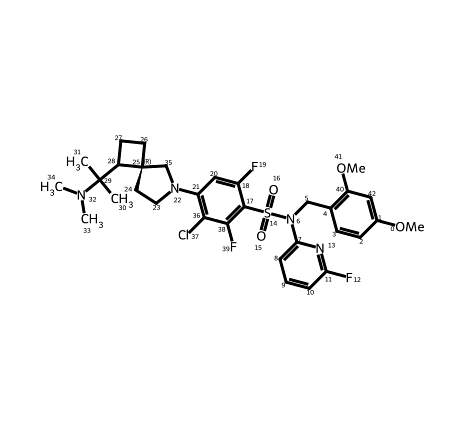 COc1ccc(CN(c2cccc(F)n2)S(=O)(=O)c2c(F)cc(N3CC[C@@]4(CCC4C(C)(C)N(C)C)C3)c(Cl)c2F)c(OC)c1